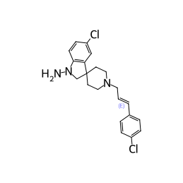 NN1CC2(CCN(C/C=C/c3ccc(Cl)cc3)CC2)c2cc(Cl)ccc21